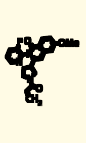 C=CC(=O)N1CCC(c2cc3cc(OC)ccc3c(=O)n2-c2ncccc2F)C1